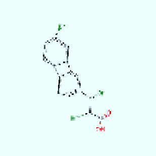 O=C(O)C(Br)C(Br)c1ccc2c(c1)-c1cc(Br)ccc1-2